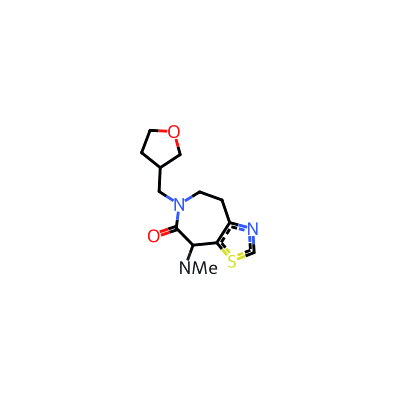 CNC1C(=O)N(CC2CCOC2)CCc2ncsc21